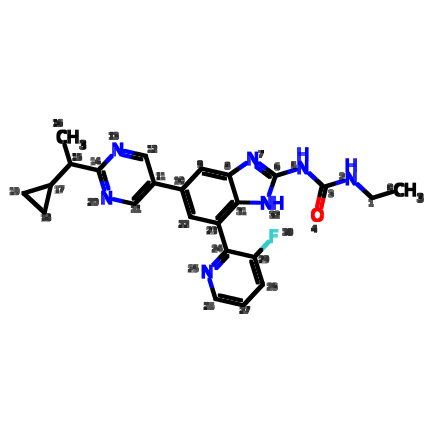 CCNC(=O)Nc1nc2cc(-c3cnc(C(C)C4CC4)nc3)cc(-c3ncccc3F)c2[nH]1